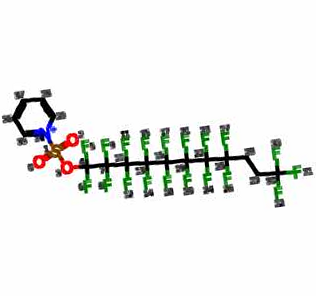 O=S(=O)(OC(F)(F)C(F)(F)C(F)(F)C(F)(F)C(F)(F)C(F)(F)C(F)(F)C(F)(F)CCC(F)(F)F)[n+]1ccccc1